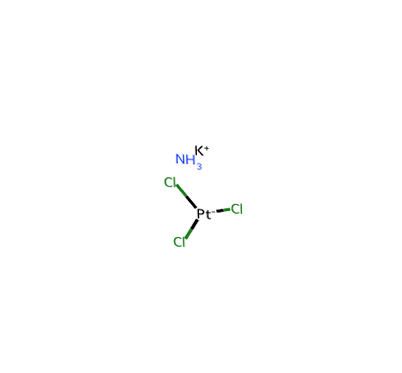 N.[Cl][Pt-]([Cl])[Cl].[K+]